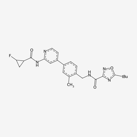 Cc1cc(-c2ccnc(NC(=O)C3CC3F)c2)ccc1CNC(=O)c1noc(C(C)(C)C)n1